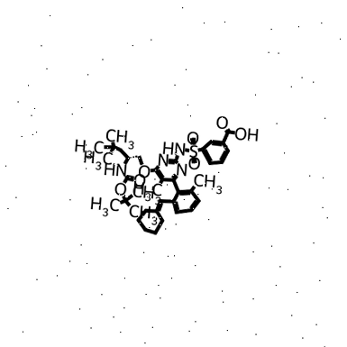 Cc1cccc(C=C2CCCCC2)c1-c1nc(NS(=O)(=O)c2cccc(C(=O)O)c2)nc(OC[C@@H](CC(C)(C)C)NC(=O)OC(C)(C)C)c1C